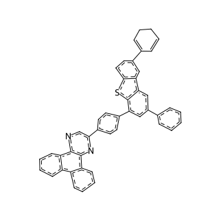 C1=CC(c2ccc3sc4c(-c5ccc(-c6cnc7c8ccccc8c8ccccc8c7n6)cc5)cc(-c5ccccc5)cc4c3c2)=CCC1